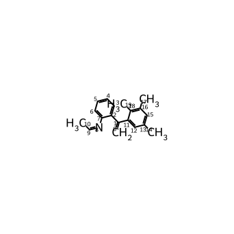 C=C(c1ccccc1/N=C\C)c1cc(C)cc(C)c1C